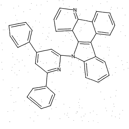 c1ccc(-c2cc(-c3ccccc3)nc(-n3c4ccccc4c4c5ccccc5c5ncccc5c43)c2)cc1